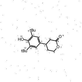 CC(C)(C)c1cc(C2CCOC(=O)C2)cc(C(C)(C)C)c1O